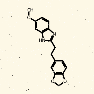 COc1ccc2nc(CCc3ccc4c(c3)OCO4)[nH]c2c1